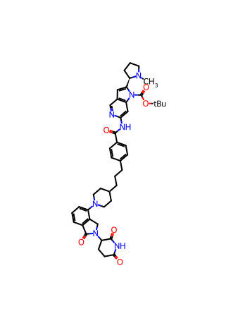 CN1CCC[C@@H]1c1cc2cnc(NC(=O)c3ccc(CCCC4CCN(c5cccc6c5CN(C5CCC(=O)NC5=O)C6=O)CC4)cc3)cc2n1C(=O)OC(C)(C)C